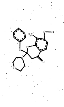 CCOc1ccc2c(c1C)OC(Sc1ccccc1)(N1CCOCC1)CC2=O